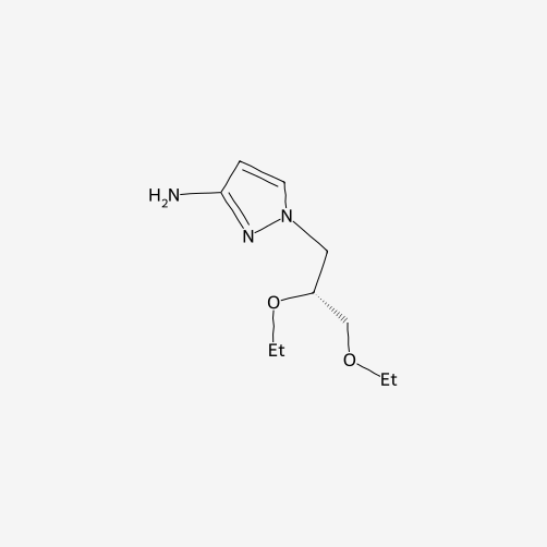 CCOC[C@@H](Cn1ccc(N)n1)OCC